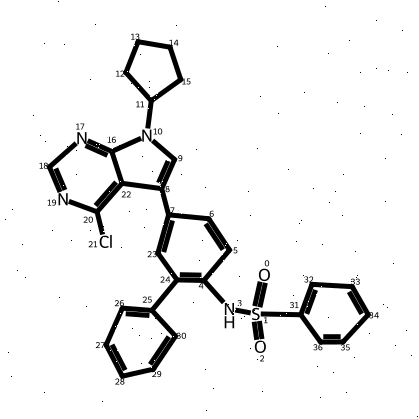 O=S(=O)(Nc1ccc(-c2cn(C3CCCC3)c3ncnc(Cl)c23)cc1-c1ccccc1)c1ccccc1